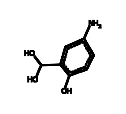 Nc1ccc(O)c(C(O)O)c1